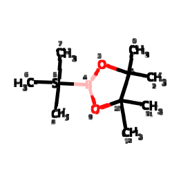 CC1(C)OB([Si](C)(C)C)OC1(C)C